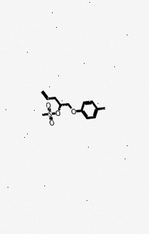 C=CCC(COc1ccc(C)cc1)OS(C)(=O)=O